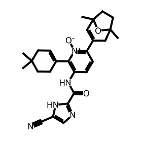 CC1(C)CC=C(c2c(NC(=O)c3ncc(C#N)[nH]3)ccc(C3=CC4(C)CCC(C)(C3)O4)[n+]2[O-])CC1